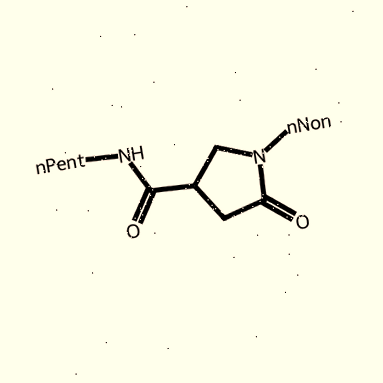 CCCCCCCCCN1CC(C(=O)NCCCCC)CC1=O